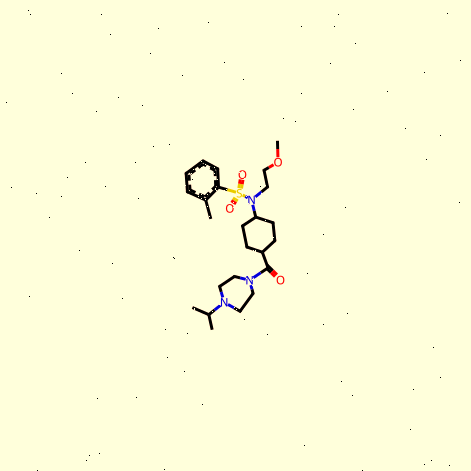 COCCN(C1CCC(C(=O)N2CCN(C(C)C)CC2)CC1)S(=O)(=O)c1ccccc1C